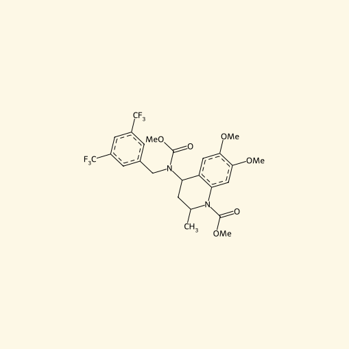 COC(=O)N(Cc1cc(C(F)(F)F)cc(C(F)(F)F)c1)C1CC(C)N(C(=O)OC)c2cc(OC)c(OC)cc21